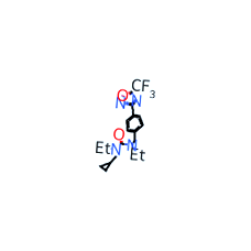 CCN(Cc1ccc(-c2noc(C(F)(F)F)n2)cc1)C(=O)N(CC)CC1CC1